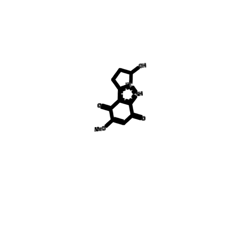 COC1=CC(=O)c2[nH][13c]3c(c2C1=O)CCC3O